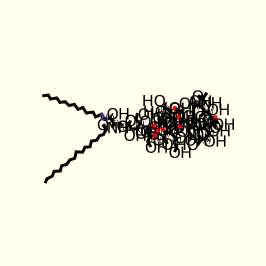 CCCCCCCCCCCCC/C=C/[C@@H](O)[C@H](CO[C@@H]1OC(CO)[C@@H](O[C@@H]2OC(CO)[C@H](O[C@@H]3OC(CO)[C@H](O)[C@H](O[C@@H]4OC(CO)[C@H](O[C@@H]5OC(CO)[C@H](O)[C@H](O)C5NC(C)=O)[C@H](O[C@]5(C(=O)O)CC(O)[C@@H](NC(C)=O)C([C@H](O)[C@H](O)CO)O5)C4O)C3NC(C)=O)[C@H](O[C@]3(C(=O)O)CC(O)[C@@H](NC(=O)CO)C([C@H](O)[C@H](O)CO)O3)C2O)[C@H](O)C1O)NC(=O)CCCCCCCCCCCCCCCCC